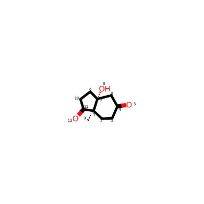 C[C@@]12CCC(=O)C[C@]1(O)CCC2=O